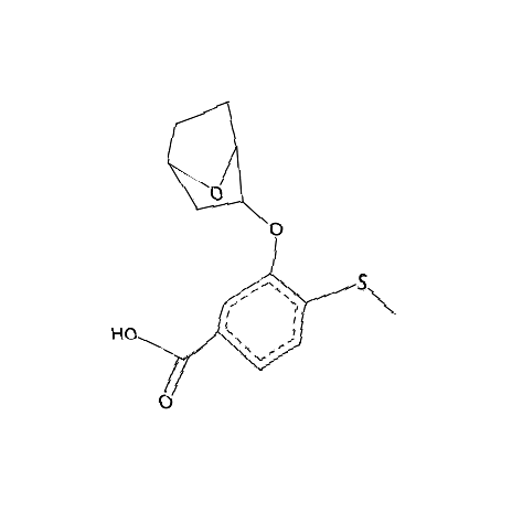 CSc1ccc(C(=O)O)cc1OC1CC2CCC1O2